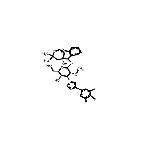 CO[C@@H]1[C@@H](n2cc(-c3cc(F)c(F)c(F)c3)nn2)[C@@H](O)[C@@H](CO)O[C@H]1SC(c1ccccc1C)[C@@]1(O)CCOC(C)(C)C1